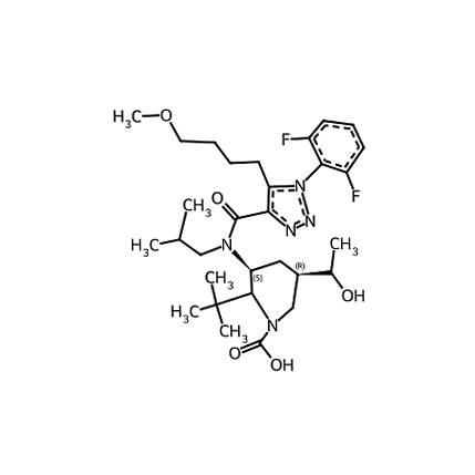 COCCCCc1c(C(=O)N(CC(C)C)[C@H]2C[C@@H](C(C)O)CN(C(=O)O)C2C(C)(C)C)nnn1-c1c(F)cccc1F